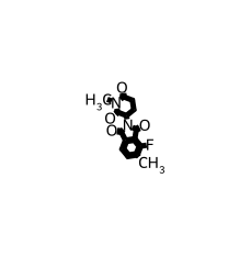 Cc1ccc2c(c1F)C(=O)N(C1CCC(=O)N(C)C1=O)C2=O